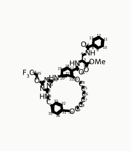 COC(=O)[C@H](CNC(=O)c1ccccc1)NC(=O)c1ccc2cc1OCCCCCCOc1ccc(cc1)CNc1nc(nc(OCC(F)(F)F)n1)N2